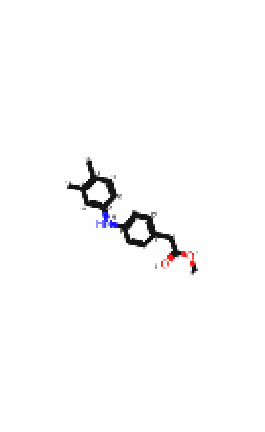 COC(=O)Cc1ccc(Nc2ccc(C)c(C)c2)cc1